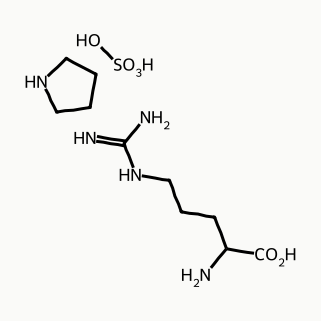 C1CCNC1.N=C(N)NCCCC(N)C(=O)O.O=S(=O)(O)O